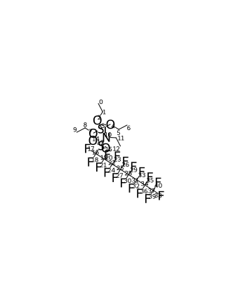 CCO[Si](OCC)(OCC)N(CC)S(=O)(=O)C(F)(F)C(F)(F)C(F)(F)C(F)(F)C(F)(F)C(F)(F)C(F)(F)C(F)(F)F